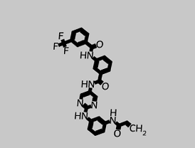 C=CC(=O)Nc1cccc(Nc2ncc(NC(=O)c3cccc(NC(=O)c4cccc(C(F)(F)F)c4)c3)cn2)c1